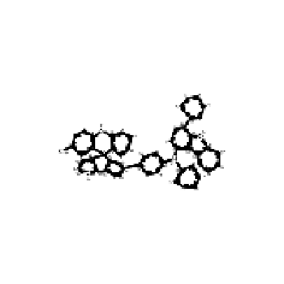 Clc1ccc2c(c1)C1(c3ccccc3S2)c2ccccc2-c2ccc(-c3ccc(N(c4ccccc4)c4ccc(-c5ccccc5)c5oc6ccccc6c45)cc3)cc21